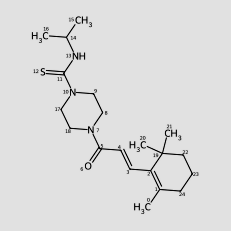 CC1=C(C=CC(=O)N2CCN(C(=S)NC(C)C)CC2)C(C)(C)CCC1